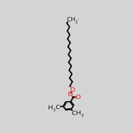 [CH2]CCCCCCCCCCCCCCCCCOOC(=O)c1cc(C)cc(C)c1